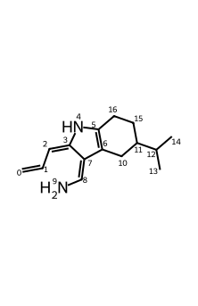 C=C/C=c1/[nH]c2c(/c1=C/N)CC(C(C)C)CC2